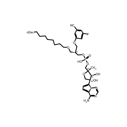 CCCCCCCCCCCCCCCCCCOC[C@@H](COc1cc(F)cc(C#N)c1)COP(=O)(O)OC[C@@]1(C)OC[C@](O)(c2ccc3c(N)ncnn23)[C@@H]1O